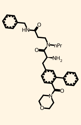 CCCN(CCC(=O)NCc1ccccc1)C(=O)[C@@H](N)Cc1ccc(C(=O)N2CCOCC2)c(-c2ccccc2)c1